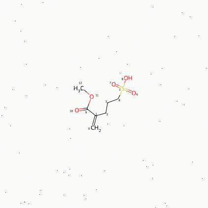 C=C(CCCS(=O)(=O)O)C(=O)OC